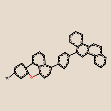 N#Cc1ccc2c(c1)Oc1ccc(-c3ccc(-c4cc5c6ccccc6ccc5c5ccccc45)cc3)c3cccc-2c13